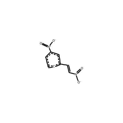 O=[N+]([O-])C=Cc1cccc([N+](=O)[O-])c1